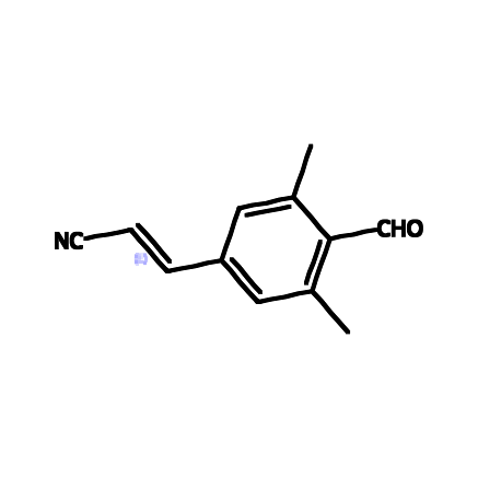 Cc1cc(/C=C/C#N)cc(C)c1C=O